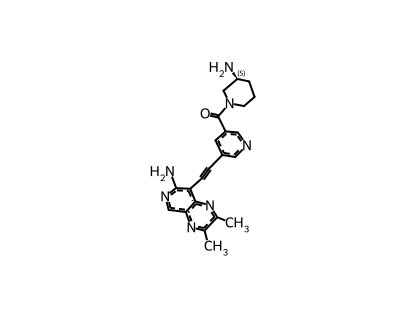 Cc1nc2cnc(N)c(C#Cc3cncc(C(=O)N4CCC[C@H](N)C4)c3)c2nc1C